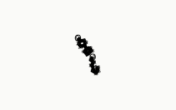 O=C1CCC(c2ccc(OCCCN3CCCC3)cc2)CC1